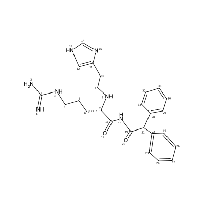 N=C(N)NCCC[C@H](NCCc1c[nH]cn1)C(=O)NC(=O)C(c1ccccc1)c1ccccc1